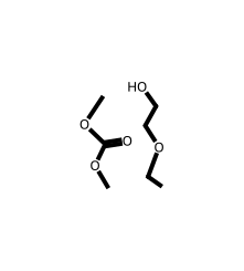 CCOCCO.COC(=O)OC